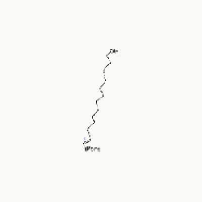 CCCCC/C=C/CCCCCCCCCCCO